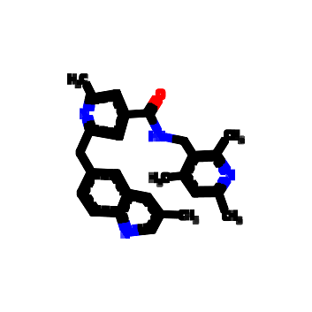 Cc1cnc2ccc(Cc3cc(C(=O)NCc4c(C)cc(C)nc4C)cc(C)n3)cc2c1